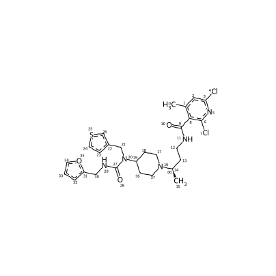 Cc1cc(Cl)nc(Cl)c1C(=O)NCC[C@@H](C)N1CCC(N(Cc2ccsc2)C(=O)NCc2ccco2)CC1